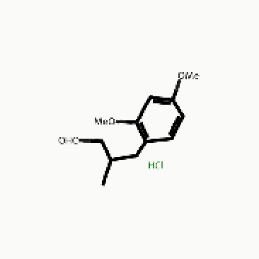 COc1ccc(CC(C)CC=O)c(OC)c1.Cl